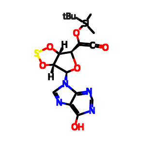 CC(C)(C)[Si](C)(C)OC(=C=O)[C@H]1O[C@@H](n2cnc3c(O)ncnc32)[C@@H]2OSO[C@@H]21